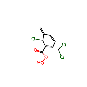 C=C1C=CC=C(C(=O)OO)C1Cl.ClCCl